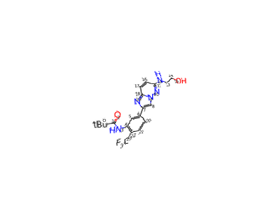 CC(C)(C)C(=O)Nc1cc(-c2cn3nc(NCCO)ccc3n2)ccc1C(F)(F)F